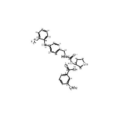 COc1cccc(C(=O)N[C@]2(OC(=O)NCc3ccc(Nc4ccccc4C(F)(F)F)cc3)CCOC2)c1